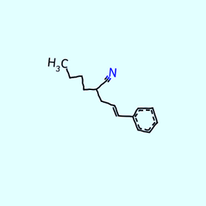 CCCCC(C#N)CC=Cc1ccccc1